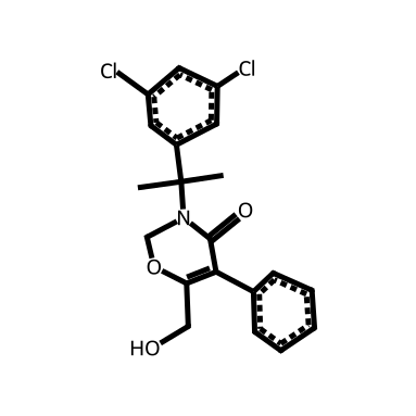 CC(C)(c1cc(Cl)cc(Cl)c1)N1COC(CO)=C(c2ccccc2)C1=O